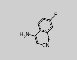 N#C/C=C(/N)c1ccc(F)cc1F